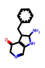 NC1NC2=C(C(=O)CN=C2)C1Cc1ccccc1